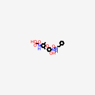 Cc1cc(NC(=O)C(=O)O)cc(C)c1Oc1ccc(O)c(NC(=O)NCCc2ccccc2)c1